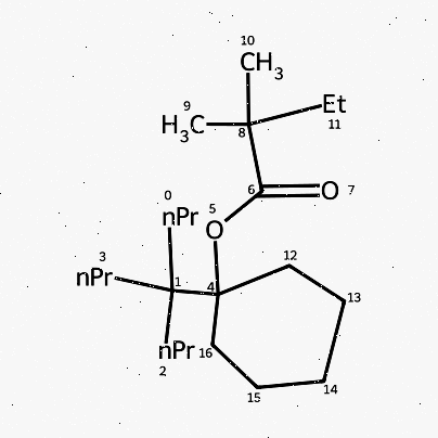 CCCC(CCC)(CCC)C1(OC(=O)C(C)(C)CC)CCCCC1